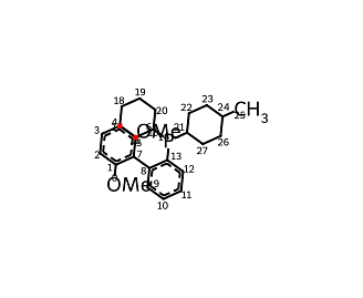 COc1cccc(OC)c1-c1ccccc1P(C1CCCCC1)C1CCC(C)CC1